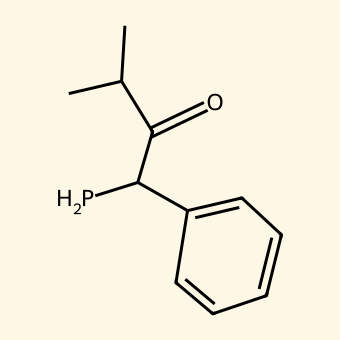 CC(C)C(=O)C(P)c1ccccc1